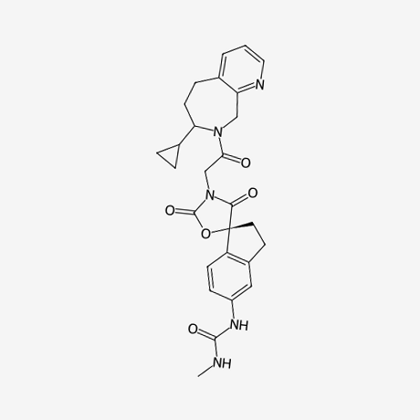 CNC(=O)Nc1ccc2c(c1)CC[C@]21OC(=O)N(CC(=O)N2Cc3ncccc3CCC2C2CC2)C1=O